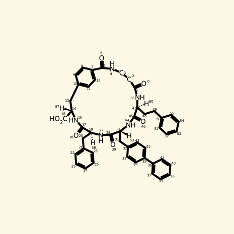 O=C1CCNC(=O)c2ccc(cc2)C[C@@H](C(=O)O)NC(=O)[C@H](Cc2ccccc2)NC(=O)[C@@H](Cc2ccc(-c3ccccc3)cc2)NC(=O)[C@H](CCc2ccccc2)N1